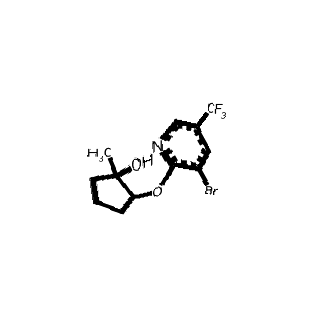 CC1(O)CCCC1Oc1ncc(C(F)(F)F)cc1Br